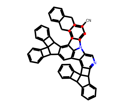 N#Cc1cc2c(c3c1C1c4ccccc4C3c3ccccc31)c1c3c(cc4c5c6c(ncc5n2c41)C1c2ccccc2C2c4ccccc4C621)C1c2ccccc2C12c1ccccc1C32